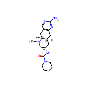 CCCN1C[C@@H](NC(=O)N2CCCCC2)C[C@@H]2Cc3nc(N)ncc3C[C@H]21